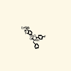 CCNS(=O)(=O)c1ccc(NC(=O)[C@H](Cc2ccccc2)NC(=O)c2ccc(F)cc2)cc1F